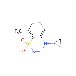 O=S1(=O)N=CN(C2CC2)c2cccc(C(F)(F)F)c21